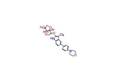 N#Cc1c(O[C@@H]2CO[C@H]3[C@@H]2OC[C@H]3O)[nH]c2ccc(-c3ccc(N4CCOCC4)cc3)cc12